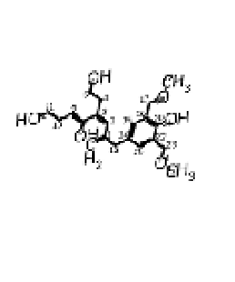 C=C(/C=C(CCO)\C(O)=C\CCO)Cc1cc(COC)c(O)c(COC)c1